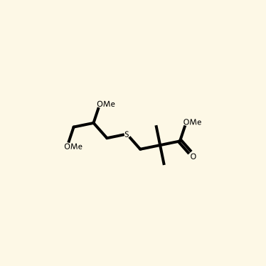 COCC(CSCC(C)(C)C(=O)OC)OC